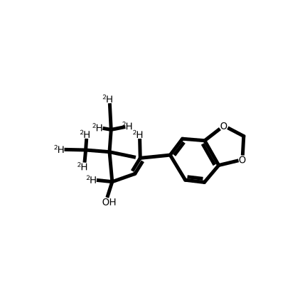 [2H]/C(=C\C([2H])(O)C(C)(C([2H])([2H])[2H])C([2H])([2H])[2H])c1ccc2c(c1)OCO2